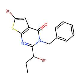 CCC(Br)c1nc2sc(Br)cc2c(=O)n1Cc1ccccc1